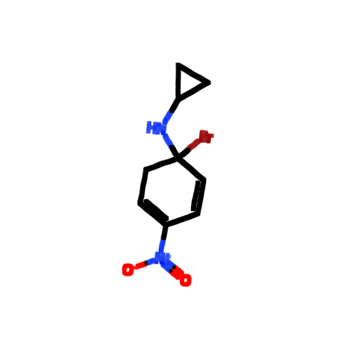 O=[N+]([O-])C1=CCC(Br)(NC2CC2)C=C1